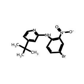 CC(C)(C)c1ccnc(Nc2ccc(Br)cc2[N+](=O)[O-])c1